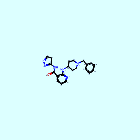 O=C(NC1=NN=CC1)c1cccnc1NC1CCN(Cc2ccccc2)CC1